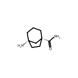 NC(=O)[C@]12CCC[C@](N)(CC1)C2